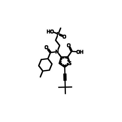 CC1CCC(C(=O)N(CCP(C)(=O)O)c2cc(C#CC(C)(C)C)sc2C(=O)O)CC1